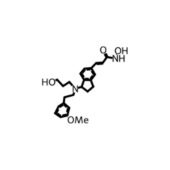 COc1cccc(CCN(CCCO)C2CCc3cc(C=CC(=O)NO)ccc32)c1